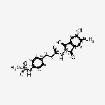 Cc1cc2c(cc1Cl)C(=O)N(NC(=O)CCc1ccc(NS(C)(=O)=O)cc1)C2=O